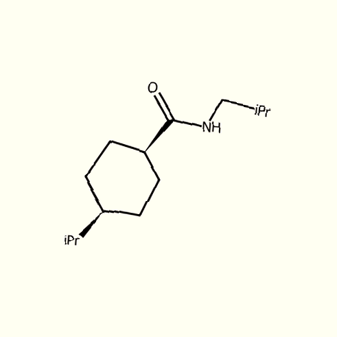 CC(C)CNC(=O)[C@H]1CC[C@@H](C(C)C)CC1